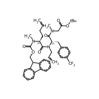 C=CCC[C@@H](C(=O)N(CC=C)[C@@H](Cc1ccc(C(F)(F)F)cc1)C(=O)N(C)CC(=O)OC(C)(C)C)N(C)C(=O)OCC1c2ccccc2-c2ccccc21